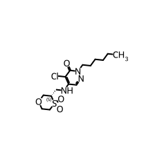 CCCCCCn1ncc(NC[C@H]2COCCS2(=O)=O)c(Cl)c1=O